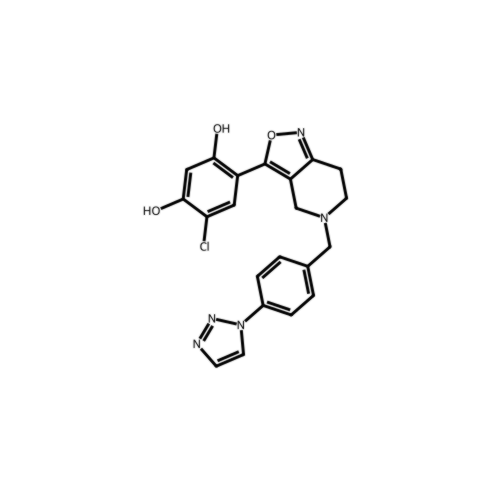 Oc1cc(O)c(-c2onc3c2CN(Cc2ccc(-n4ccnn4)cc2)CC3)cc1Cl